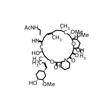 CO[C@H]1C[C@@H](C)C/C(C)=C/[C@@H](CCNC(C)=O)C(=N)C[C@H](O)[C@@H](C)[C@@H](/C(C)=C/[C@@H]2CC[C@@H](O)[C@H](OC)C2)OC(=O)[C@@H]2CCCCN2C(=O)C(=O)[C@]2(O)O[C@H]1[C@@H](OC)C[C@H]2C